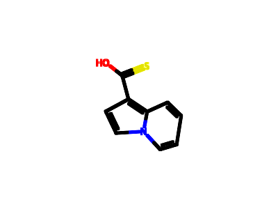 OC(=S)c1ccn2ccccc12